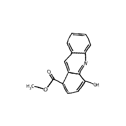 COC(=O)c1ccc(O)c2nc3ccccc3cc12